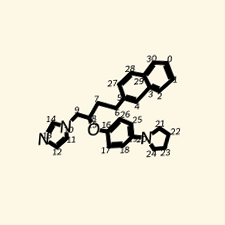 c1ccc2cc(CCC(Cn3ccnc3)Oc3ccc(N4CCCC4)cc3)ccc2c1